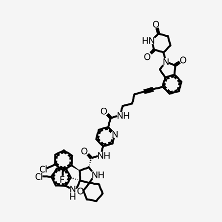 O=C1CCC(N2Cc3c(C#CCCCNC(=O)c4ccc(NC(=O)[C@@H]5NC6(CCCCC6)[C@@]6(C(=O)Nc7cc(Cl)ccc76)[C@H]5c5cccc(Cl)c5F)cn4)cccc3C2=O)C(=O)N1